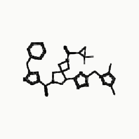 Cc1cc(C)n(Cc2nnc(C3CN(C(=O)c4cnn(Cc5ccccc5)c4)CC34CN(C(=O)[C@H]3CC3(C)C)C4)o2)n1